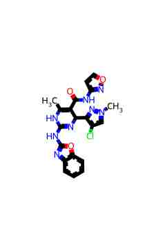 CC1=C(C(=O)Nc2ccon2)C(c2nn(C)cc2Cl)N=C(Nc2nc3ccccc3o2)N1